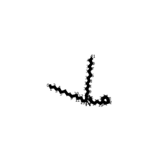 CCCCCCCCCCCCCCc1nc(CCCc2ccccc2)cn1CCCCCCCCCCCCCC